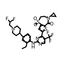 CCc1cc(C2CCN(CC(F)F)CC2)ccc1Nc1ncc(C(F)(F)F)c(-c2cc3c(s2)C(=O)N(C2CC2)CCS3(=O)=O)n1